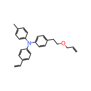 C=CCOCCc1ccc(N(c2ccc(C)cc2)c2ccc(C=C)cc2)cc1